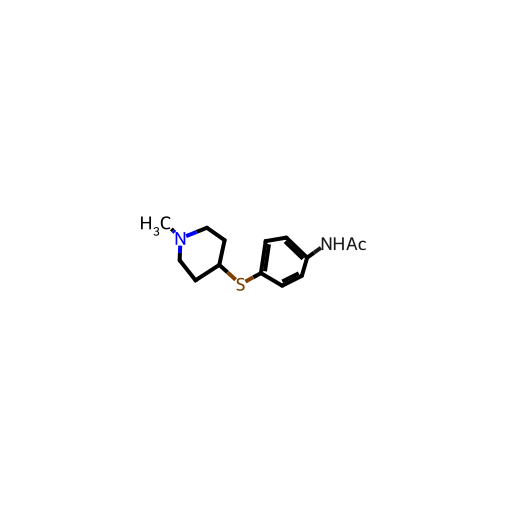 CC(=O)Nc1ccc(SC2CCN(C)CC2)cc1